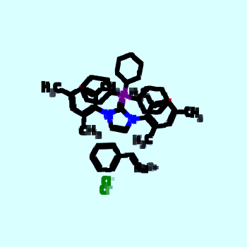 Cc1cc(C)c(-n2ccn(-c3c(C)cc(C)cc3C)c2=P(C2CCCCC2)(C2CCCCC2)C2CCCCC2)c(C)c1.[Cl-].[Cl-].[Ru+2]=[CH]c1ccccc1